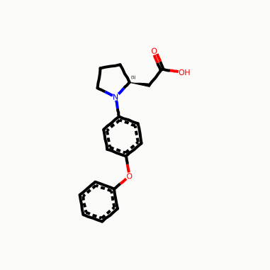 O=C(O)C[C@@H]1CCCN1c1ccc(Oc2ccccc2)cc1